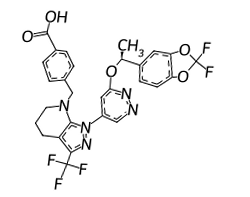 C[C@H](Oc1cc(-n2nc(C(F)(F)F)c3c2N(Cc2ccc(C(=O)O)cc2)CCC3)cnn1)c1ccc2c(c1)OC(F)(F)O2